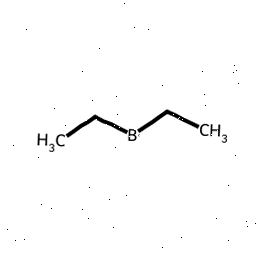 CC[B]CC